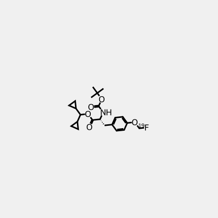 CC(C)(C)OC(=O)N[C@H](Cc1ccc(OC[19F])cc1)C(=O)OC(C1CC1)C1CC1